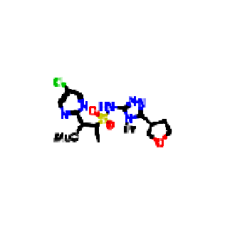 COC(c1ncc(Cl)cn1)C(C)S(=O)(=O)Nc1nnc([C@H]2CCOC2)n1C(C)C